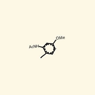 COc1[c]cc(C)c(NC(C)=O)c1